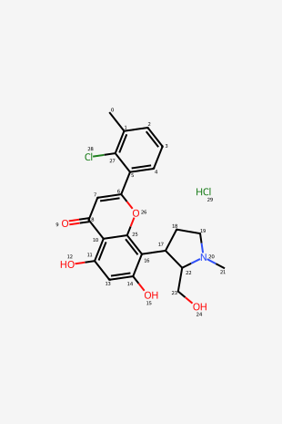 Cc1cccc(-c2cc(=O)c3c(O)cc(O)c(C4CCN(C)C4CO)c3o2)c1Cl.Cl